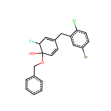 OC1(OCc2ccccc2)C=CC(Cc2cc(Br)ccc2Cl)=CC1F